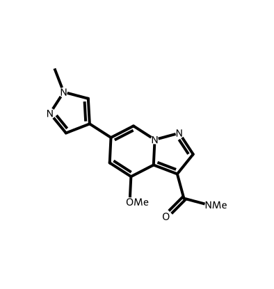 CNC(=O)c1cnn2cc(-c3cnn(C)c3)cc(OC)c12